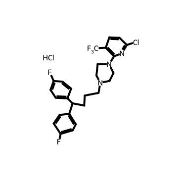 Cl.Fc1ccc(C(CCCN2CCN(c3nc(Cl)ccc3C(F)(F)F)CC2)c2ccc(F)cc2)cc1